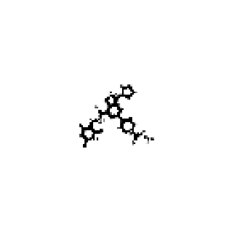 C=C1NC(C)=CC(C)=C1CNC(=O)c1cc(C2=CCN(C(=O)OC(C)(C)C)CC2)cc2c1cnn2C1CCCC1